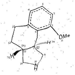 COc1cccc2c1[C@H]1CNC[C@@H]1CC2